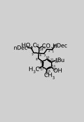 CCCCCCCCCCCCCC(CCCCCCCCCCCC)(Cc1cc(C(C)(C)C)c(O)c(C)c1C)C(C(=O)O)C(=O)O